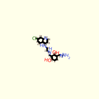 N/N=C/c1ccc(O)c(CNCCNc2ccnc3cc(Cl)ccc23)c1O